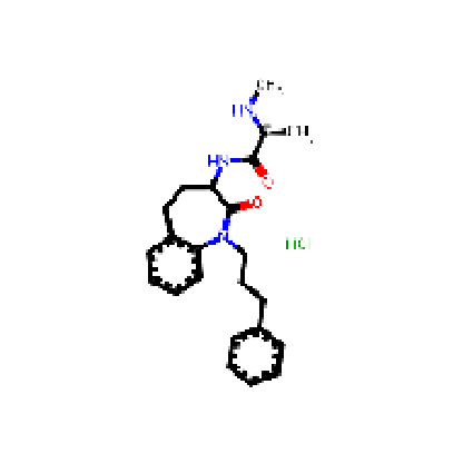 CN[C@@H](C)C(=O)NC1CCc2ccccc2N(CCCc2ccccc2)C1=O.Cl